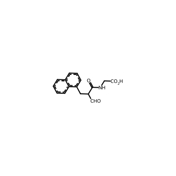 O=CC(Cc1cccc2ccccc12)C(=O)NCC(=O)O